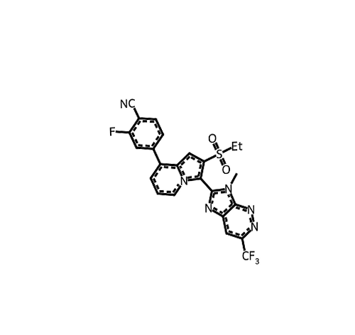 CCS(=O)(=O)c1cc2c(-c3ccc(C#N)c(F)c3)cccn2c1-c1nc2cc(C(F)(F)F)nnc2n1C